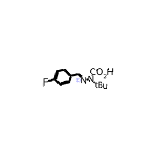 CC(C)(C)N(/N=C/c1ccc(F)cc1)C(=O)O